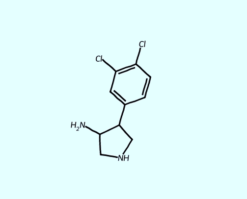 NC1CNCC1c1ccc(Cl)c(Cl)c1